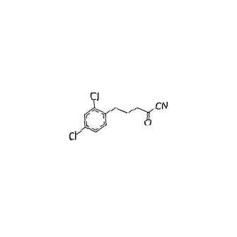 N#CC(=O)CCCc1ccc(Cl)cc1Cl